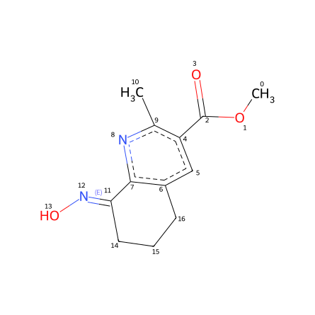 COC(=O)c1cc2c(nc1C)/C(=N/O)CCC2